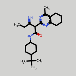 CCC(=N)C(C(=O)NC1CCC(C(C)(C)C)CC1)c1nc(C)c2c(n1)CCCC2